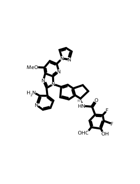 COc1cc(-n2cccn2)nc2c1nc(-c1cccnc1N)n2-c1ccc2c(c1)CC[C@@H]2NC(=O)c1cc(C=O)c(O)c(F)c1F